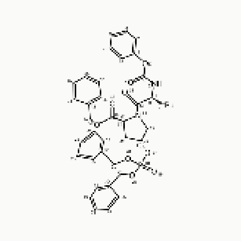 CC(C)(C)[C@H](NC(=O)Oc1ccccc1)C(=O)N1C[C@H](OP(=O)(OCc2ccccc2)OCc2ccccc2)C[C@H]1C(=O)OCc1ccccc1